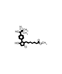 COC(=O)CCCCCCC1C(c2ccc(C(O)C(C)(C)C)cc2)C(O)C[C@H]1Cl